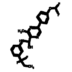 CCC(F)(F)c1cccc(NC(O)c2ncc(-c3ccc(OC(F)F)cc3)nc2C)c1